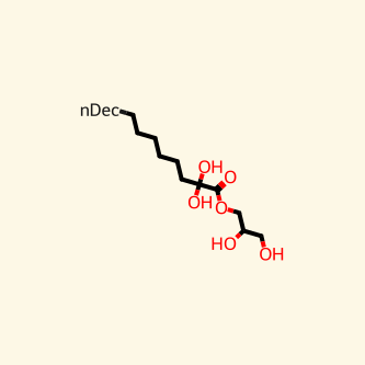 CCCCCCCCCCCCCCCCC(O)(O)C(=O)OCC(O)CO